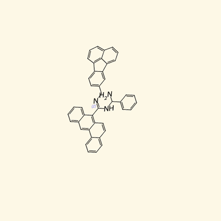 NC(N/C(=N\Cc1ccc2c(c1)-c1cccc3cccc-2c13)c1c2ccccc2cc2c1ccc1ccccc12)c1ccccc1